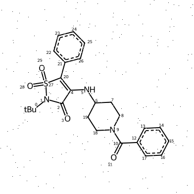 CC(C)(C)N1C(=O)C(NC2CCN(C(=O)c3ccccc3)CC2)=C(c2ccccc2)S1(=O)=O